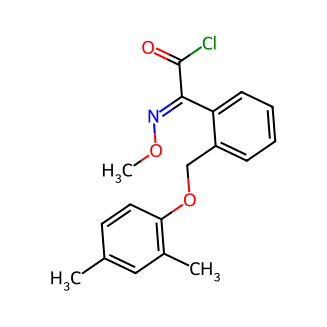 CO/N=C(/C(=O)Cl)c1ccccc1COc1ccc(C)cc1C